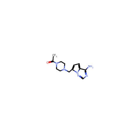 Nc1ncnn2c(CN3CCN(C(=O)C(F)(F)F)CC3)ccc12